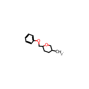 [CH2]C1CCC(COc2ccccc2)OC1